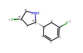 FC1=CC=CC([C@@H]2C[C@@H](F)CN2)C1